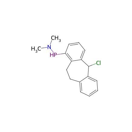 CN(C)Pc1cccc2c1CCc1ccccc1C2Cl